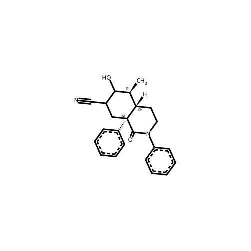 C[C@@H]1C(O)C(C#N)C[C@]2(c3ccccc3)C(=O)N(c3ccccc3)CC[C@@H]12